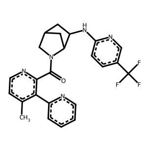 Cc1ccnc(C(=O)N2CC3CC(Nc4ccc(C(F)(F)F)cn4)C2C3)c1-c1ccccn1